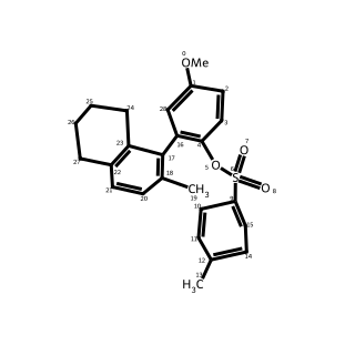 COc1ccc(OS(=O)(=O)c2ccc(C)cc2)c(-c2c(C)ccc3c2CCCC3)c1